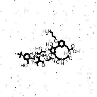 Cc1nc(-c2ccc(C(C)(C)C)cc2CO)nc(N)c1C(=O)NCC(=O)N(C)[C@@H]1C(=O)N[C@@H](C)C(=O)N[C@H](C(=O)O)Cc2ccc(OCCCN)c(c2)-c2cc1cc(OC[C@H](O)CN)c2O